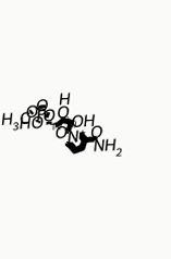 COP(=O)(O)OC[C@H]1OC([n+]2cccc(C(N)=O)c2)[C@H](O)[C@@H]1O